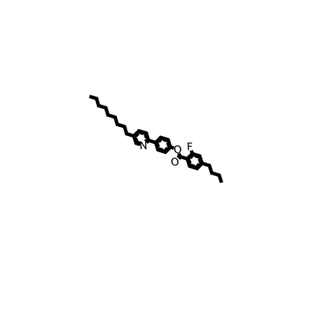 CCCCCCCCCc1ccc(-c2ccc(OC(=O)c3ccc(CCCC)cc3F)cc2)nc1